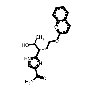 C[C@H](O)[C@H](CCOc1ccc2ccccc2n1)c1nc(C(N)=O)c[nH]1